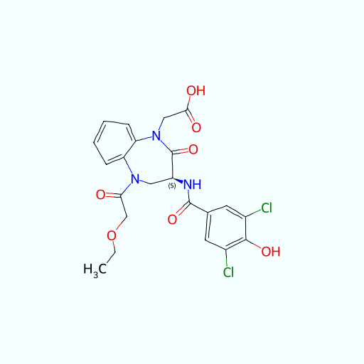 CCOCC(=O)N1C[C@H](NC(=O)c2cc(Cl)c(O)c(Cl)c2)C(=O)N(CC(=O)O)c2ccccc21